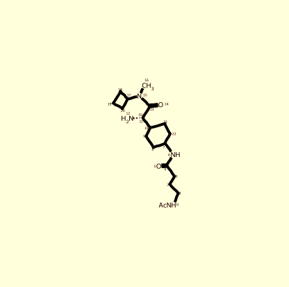 CC(=O)NCCCC(=O)NC1CCC([C@H](N)C(=O)N(C)C2CCC2)CC1